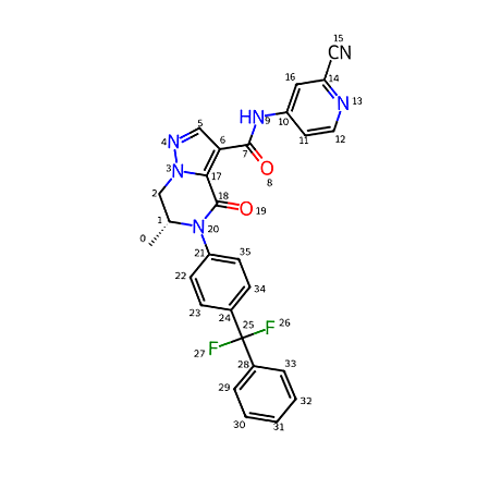 C[C@@H]1Cn2ncc(C(=O)Nc3ccnc(C#N)c3)c2C(=O)N1c1ccc(C(F)(F)c2ccccc2)cc1